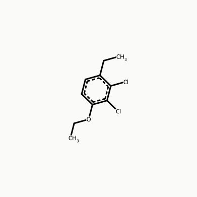 CCOc1ccc(CC)c(Cl)c1Cl